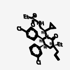 C=CC[C@@]1(CC)C[C@H](c2cccc(Cl)c2)[C@@H](c2ccc(Cl)cc2)N([C@@H](CNS(=O)(=O)CC)C2CC2)C1=O